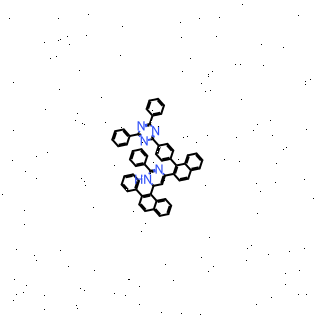 C1=C(c2ccc3ccccc3c2-c2ccc(-c3nc(-c4ccccc4)nc(-c4ccccc4)n3)cc2)N=C(c2ccccc2)NC1c1c(-c2ccccc2)ccc2ccccc12